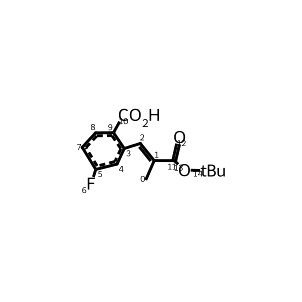 C/C(=C\c1cc(F)ccc1C(=O)O)C(=O)OC(C)(C)C